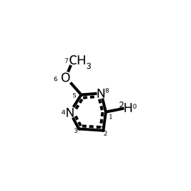 [2H]c1ccnc(OC)n1